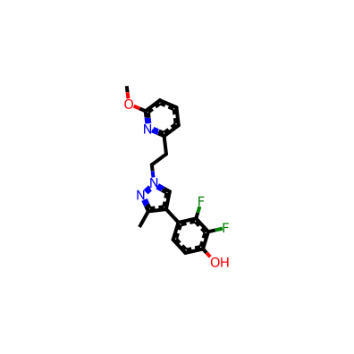 COc1cccc(CCn2cc(-c3ccc(O)c(F)c3F)c(C)n2)n1